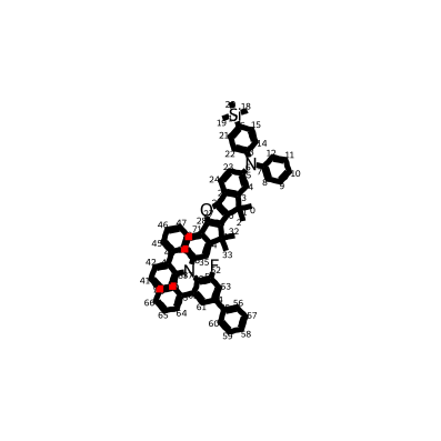 CC1(C)c2cc(N(c3ccccc3)c3ccc([Si](C)(C)C)cc3)ccc2-c2oc3c(c21)C(C)(C)c1cc(N(c2ccccc2-c2ccccc2)c2c(F)cc(-c4ccccc4)cc2-c2ccccc2)ccc1-3